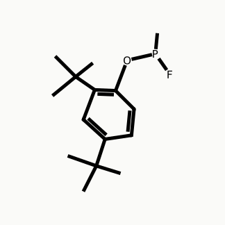 CP(F)Oc1ccc(C(C)(C)C)cc1C(C)(C)C